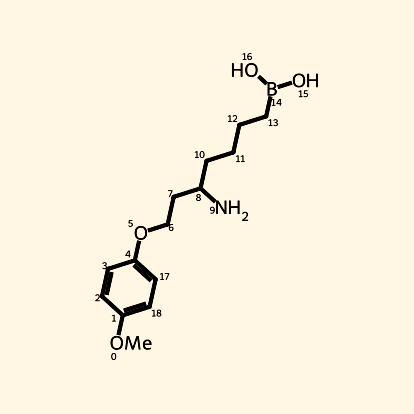 COc1ccc(OCCC(N)CCCCB(O)O)cc1